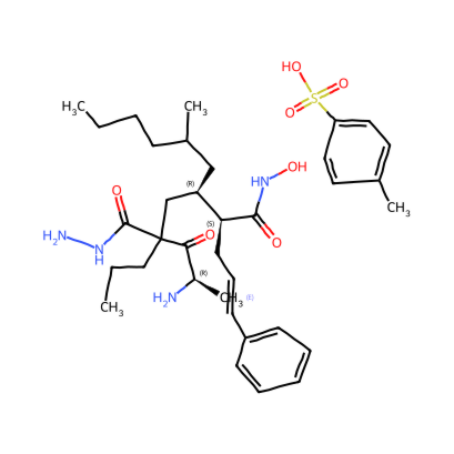 CCCCC(C)C[C@H](CC(CCC)(C(=O)NN)C(=O)[C@@H](C)N)[C@H](C/C=C/c1ccccc1)C(=O)NO.Cc1ccc(S(=O)(=O)O)cc1